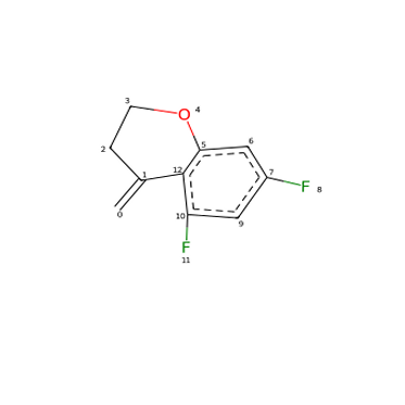 C=C1CCOc2cc(F)cc(F)c21